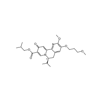 COCCCOc1cc2c(nc1OC)-c1cc(=O)c(C(=O)OCC(C)C)cn1[C@H](C(C)C)C2